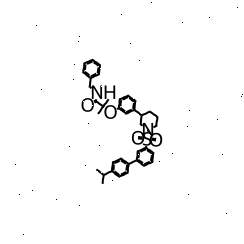 CC(C)c1ccc(-c2cccc(S(=O)(=O)N3CCCC(c4cccc(OC(C)(C)C(=O)NCc5ccccc5)c4)C3)c2)cc1